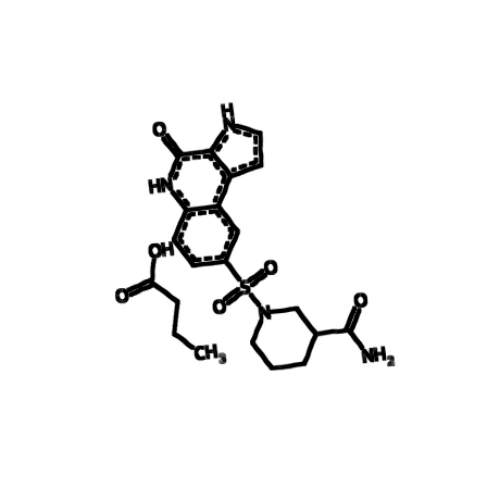 CCCC(=O)O.NC(=O)C1CCCN(S(=O)(=O)c2ccc3[nH]c(=O)c4[nH]ccc4c3c2)C1